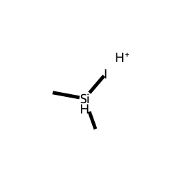 C[SiH](C)I.[H+]